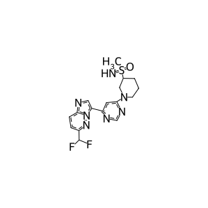 CS(=N)(=O)C1CCCN(c2cc(-c3cnc4ccc(C(F)F)nn34)ncn2)C1